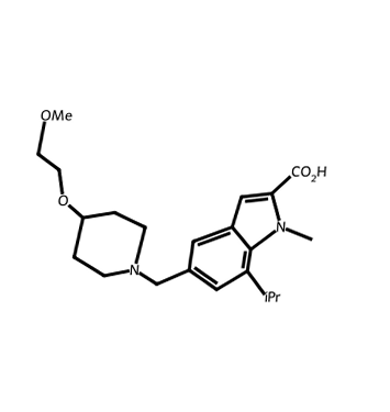 COCCOC1CCN(Cc2cc(C(C)C)c3c(c2)cc(C(=O)O)n3C)CC1